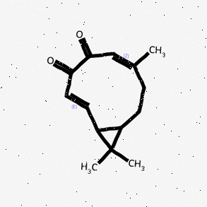 C/C1=C/C(=O)C(=O)/C=C/C2C(CC1)C2(C)C